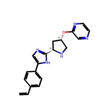 C=Cc1ccc(-c2cnc([C@@H]3C[C@H](Oc4cnccn4)CN3)[nH]2)cc1